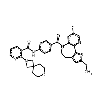 CCc1cc2c(s1)-c1ncc(F)cc1N(C(=O)c1ccc(NC(=O)c3cccnc3N3CC4(CCOCC4)C3)cc1)CC2